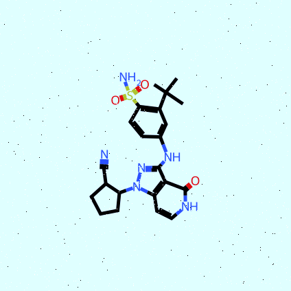 CC(C)(C)c1cc(Nc2nn(C3CCCC3C#N)c3cc[nH]c(=O)c23)ccc1S(N)(=O)=O